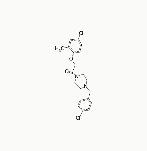 Cc1cc(Cl)ccc1OCC(=O)N1CCN(Cc2ccc(Cl)cc2)CC1